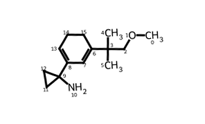 COCC(C)(C)C1=CC(C2(N)CC2)=CCC1